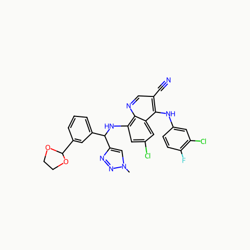 Cn1cc(C(Nc2cc(Cl)cc3c(Nc4ccc(F)c(Cl)c4)c(C#N)cnc23)c2cccc(C3OCCO3)c2)nn1